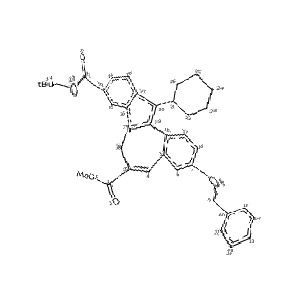 COC(=O)C1=Cc2cc(OCc3ccccc3)ccc2-c2c(C3CCCCC3)c3ccc(C(=O)OC(C)(C)C)cc3n2C1